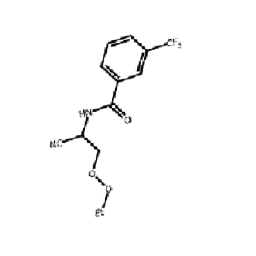 CCOOCC(C#N)NC(=O)c1cccc(C(F)(F)F)c1